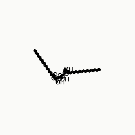 CCCCCCCCCCCCCCCCCC(=O)O[C@@H](CO)COP(=O)(O)OC[C@H](CO)OC(=O)CCCCCCCCCCCCCCCCC